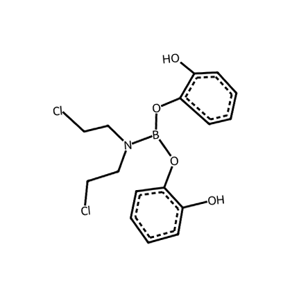 Oc1ccccc1OB(Oc1ccccc1O)N(CCCl)CCCl